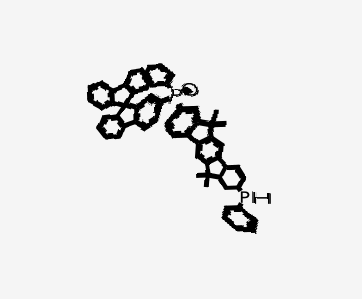 CC1(C)c2cc(P(=O)(c3ccccc3)c3ccc4c(c3)C3(c5ccccc5-c5ccccc53)c3ccccc3-4)ccc2-c2cc3c(cc21)C1C=CC(Pc2ccccc2)CC1C3(C)C